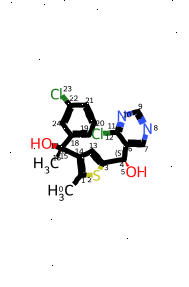 Cc1sc([C@@H](O)c2cncnc2Cl)cc1[C@](C)(O)c1cccc(Cl)c1